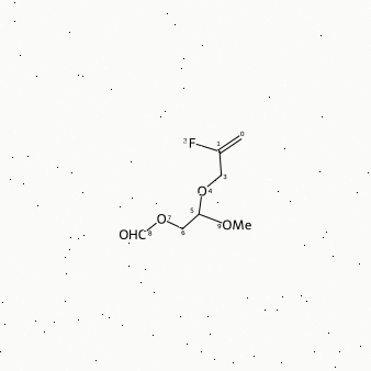 C=C(F)COC(COC=O)OC